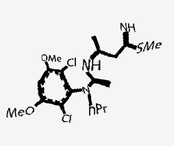 C=C(NC(C)CC(=N)SC)N(CCC)c1c(Cl)c(OC)cc(OC)c1Cl